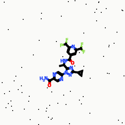 CC(NC(=O)c1cc(C(F)F)nc(C(F)F)c1)c1nc(C2CC2)nn1-c1cnc(C(N)=O)cn1